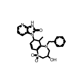 CC1C2=C(C=CC1n1c(=O)[nH]c3ncccc31)S(=O)(=O)CC(O)CN2Cc1ccccc1